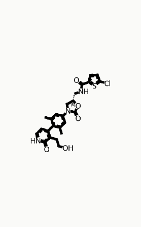 Cc1cc(N2C[C@H](CNC(=O)c3ccc(Cl)s3)OC2=O)cc(C)c1-c1cc[nH]c(=O)c1CCO